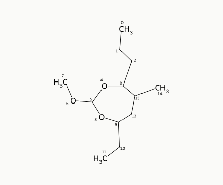 CCCC1OC(OC)OC(CC)CC1C